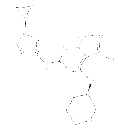 Clc1n[nH]c2nc(Nc3cnn(C4CC4)c3)nc(O[C@@H]3CCCNC3)c12